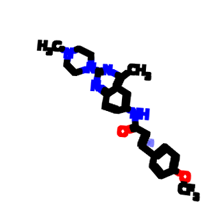 Cc1nc(N2CCN(C)CC2)nc2ccc(NC(=O)/C=C/c3ccc(OC(F)(F)F)cc3)cc12